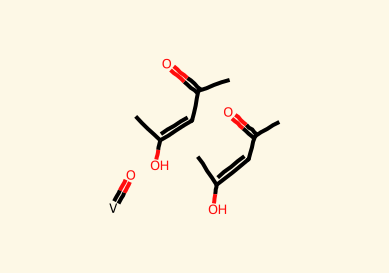 CC(=O)/C=C(\C)O.CC(=O)/C=C(\C)O.[O]=[V]